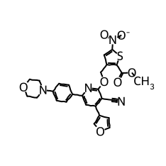 COC(=O)c1sc([N+](=O)[O-])cc1COc1nc(-c2ccc(N3CCOCC3)cc2)cc(-c2ccoc2)c1C#N